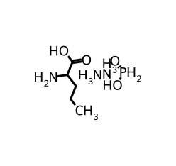 CCCC(N)C(=O)O.N.N.O=[PH2]O